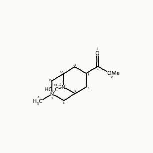 COC(=O)C1CC2CN(C)CC(C1)N2C(=O)O